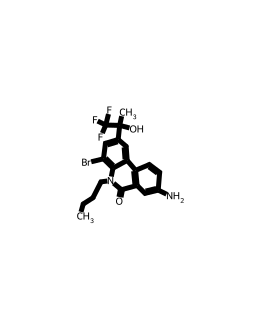 CCCCn1c(=O)c2cc(N)ccc2c2cc(C(C)(O)C(F)(F)F)cc(Br)c21